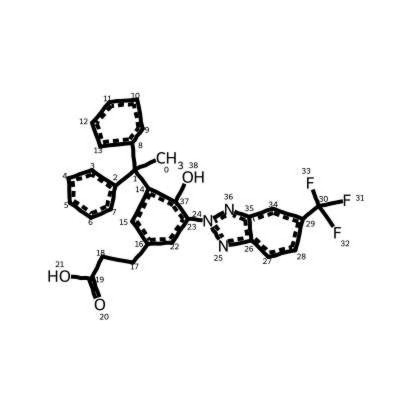 CC(c1ccccc1)(c1ccccc1)c1cc(CCC(=O)O)cc(-n2nc3ccc(C(F)(F)F)cc3n2)c1O